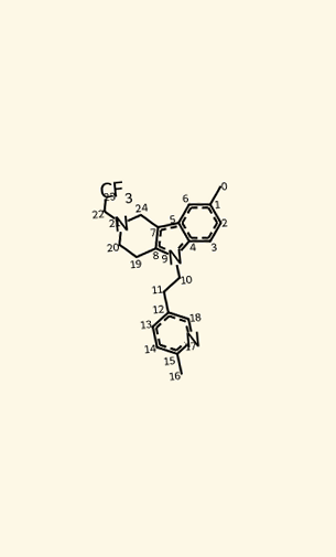 Cc1ccc2c(c1)c1c(n2CCc2ccc(C)nc2)CCN(CC(F)(F)F)C1